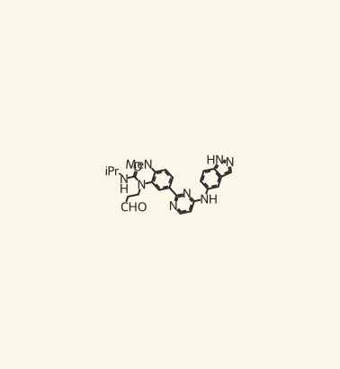 CNc1ccc(-c2nccc(Nc3ccc4[nH]ncc4c3)n2)cc1N(CCC=O)C(=O)NC(C)C